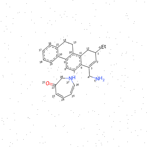 CCC1C=C(CN)c2ccc3c(c2C1)CCc1ccccc1-3.O=C1C=CC=CNC1